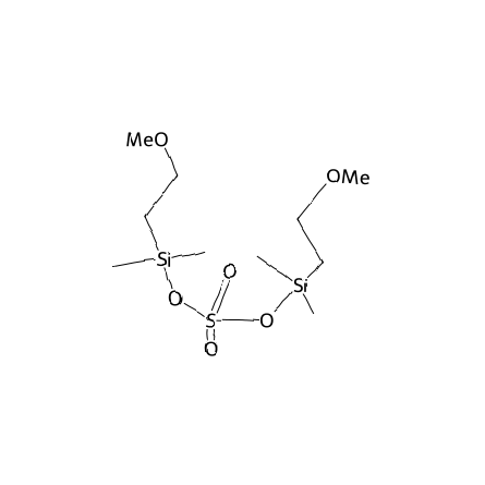 COCC[Si](C)(C)OS(=O)(=O)O[Si](C)(C)CCOC